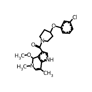 COC1c2c(C(=O)N3CCC(Oc4cccc(Cl)c4)CC3)c[nH]c2C(C)=CN1C